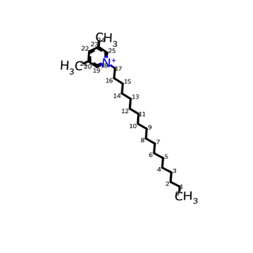 CCCCCCCCCCCCCCCCCC[n+]1cc(C)cc(C)c1